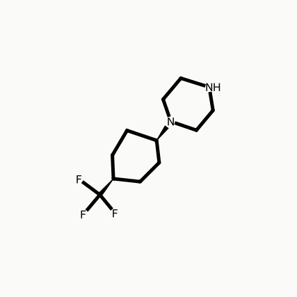 FC(F)(F)[C@H]1CC[C@@H](N2CCNCC2)CC1